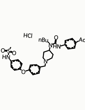 CCCCN(C(=O)Nc1ccc(C(C)=O)cc1)C1CCN(Cc2ccc(Oc3ccc(NS(C)(=O)=O)cc3)cc2)CC1.Cl